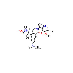 CCOc1cc(C(C)N2CCc3c(cc(CCN(C)CC)cc3-c3cn(C)c(=O)cc3C)C2=O)ncc1C#N